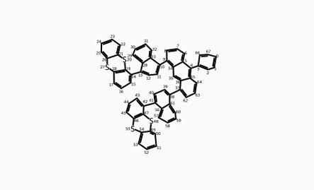 c1ccc(-c2c3cccc(-c4ccc(-c5cccc6c5Sc5ccccc5S6)c5ccccc45)c3cc3c(-c4ccc(-c5cccc6c5Sc5ccccc5S6)c5ccccc45)cccc23)cc1